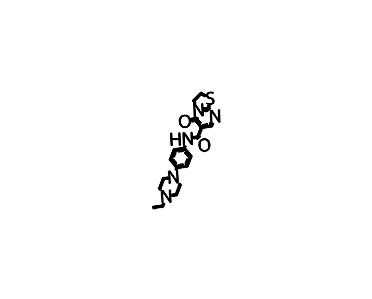 CCN1CCN(c2ccc(NC(=O)c3cnc4n(c3=O)CCS4)cc2)CC1